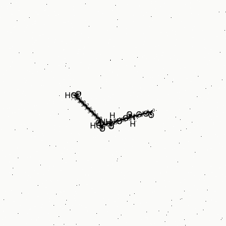 CC(=O)COCCOCCNC(=O)COCCOCCNC(=O)CCC(NC(=O)CCCCCCCCCCCCCCC(=O)O)C(=O)O